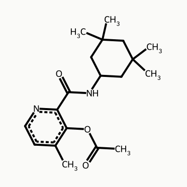 CC(=O)Oc1c(C)ccnc1C(=O)NC1CC(C)(C)CC(C)(C)C1